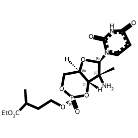 CCOC(=O)C(C)CCO[P@]1(=O)OC[C@H]2O[C@@H](n3ccc(=O)[nH]c3=O)[C@](C)(N)[C@@H]2O1